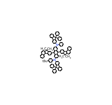 CC(C)(C)c1ccc(N(c2ccc3c(c2)C(c2ccccc2)(c2ccccc2)c2ccccc2-3)c2ccc3c(-c4ccc5c(c4)C(C)(C)c4ccc6ccccc6c4-5)c4cc(N(c5ccccc5)c5ccc6c(c5)C(c5ccccc5)(c5ccccc5)c5ccccc5-6)ccc4c(-c4ccc5c(c4)C(C)(C)c4ccc6ccccc6c4-5)c3c2)cc1